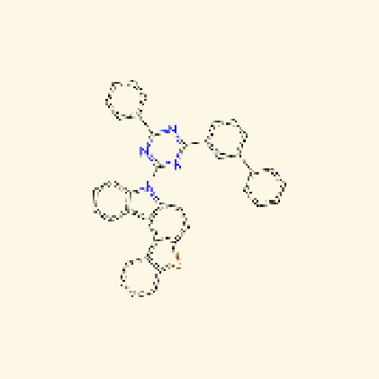 c1ccc(-c2cccc(-c3nc(-c4ccccc4)nc(-n4c5ccccc5c5c6c(ccc54)sc4ccccc46)n3)c2)cc1